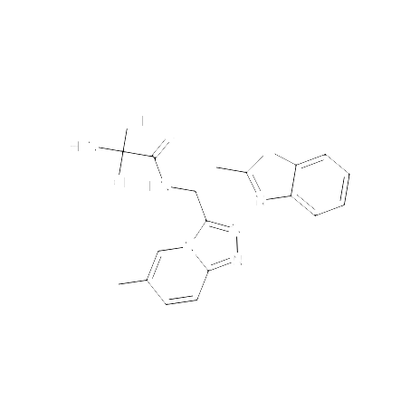 CC(C)(N)C(=O)N[C@H](Cc1nc2ccccc2s1)c1nnc2ccc(Cl)cn12